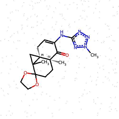 Cn1nnc(NC2=CC[C@@]34CC3(C)C3(CC[C@]4(C)C2=O)OCCO3)n1